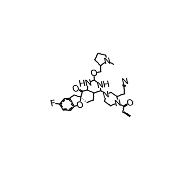 C=CC(=O)N1CCN(C2NC(OCC3CCCN3C)NC3C(=O)[C@]4(CCC32)Cc2cc(F)ccc2O4)CC1CC#N